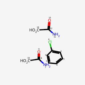 Clc1ccccc1.NC(=O)C(=O)O.NC(=O)C(=O)O